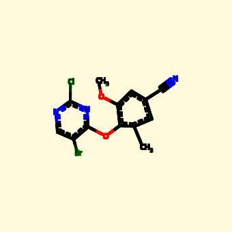 COc1cc(C#N)cc(C)c1Oc1nc(Cl)ncc1Br